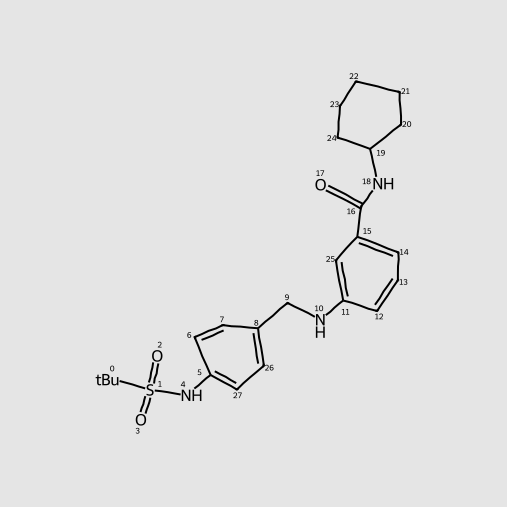 CC(C)(C)S(=O)(=O)Nc1ccc(CNc2cccc(C(=O)NC3CCCCC3)c2)cc1